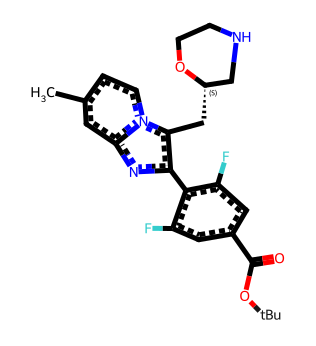 Cc1ccn2c(C[C@H]3CNCCO3)c(-c3c(F)cc(C(=O)OC(C)(C)C)cc3F)nc2c1